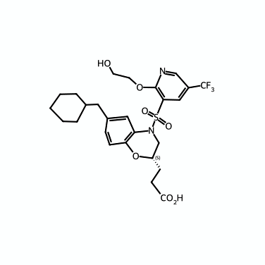 O=C(O)CC[C@H]1CN(S(=O)(=O)c2cc(C(F)(F)F)cnc2OCCO)c2cc(CC3CCCCC3)ccc2O1